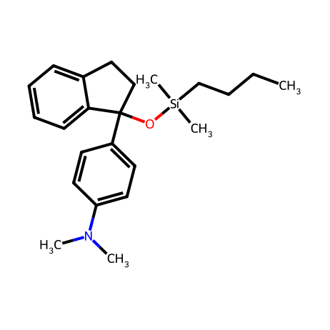 CCCC[Si](C)(C)OC1(c2ccc(N(C)C)cc2)CCc2ccccc21